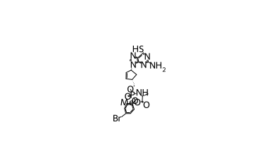 COC(=O)[C@H](C)NP(=O)(OC[C@@H]1C=C[C@H](n2cnc3c(S)nc(N)nc32)C1)Oc1ccc(Br)cc1